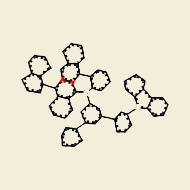 c1ccc(-c2cc(-c3cccc(-n4c5ccccc5c5ccccc54)c3)cc(N(c3ccccc3-c3cccc4ccccc34)c3ccc(-c4cccc5ccccc45)c4ccccc34)c2)cc1